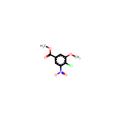 COC(=O)c1cc(OC)c(Cl)c([N+](=O)[O-])c1